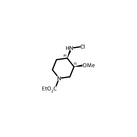 CCOC(=O)N1CC[C@@H](NCl)[C@@H](OC)C1